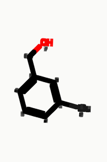 CC(C)(C)c1cccc([CH]O)c1